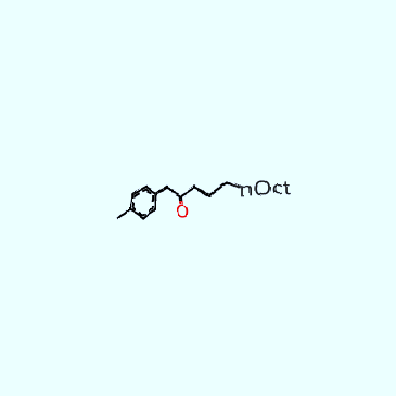 CCCCCCCCCCCC(=O)Cc1ccc(C)cc1